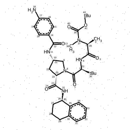 C[C@@H](C(=O)N[C@H](C(=O)N1C[C@@H](NC(=O)c2ccc(N)cc2)C[C@H]1C(=O)N[C@@H]1CCCc2ccccc21)C(C)(C)C)N(C)C(=O)OC(C)(C)C